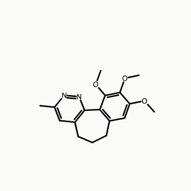 COc1cc2c(c(OC)c1OC)-c1nnc(C)cc1CCC2